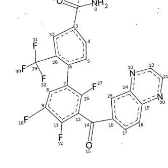 NC(=O)c1ccc(-c2cc(F)c(F)c(C(=O)c3ccc4nccnc4c3)c2F)c(C(F)(F)F)c1